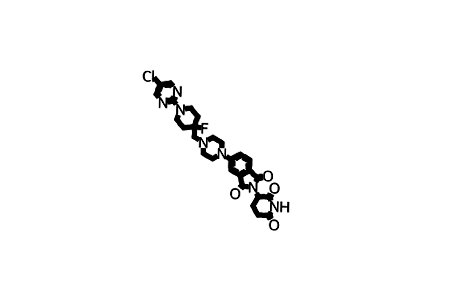 O=C1CCC(N2C(=O)c3ccc(N4CCN(CC5(F)CCN(c6ncc(Cl)cn6)CC5)CC4)cc3C2=O)C(=O)N1